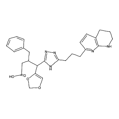 O=C(O)CC(Cc1ccccc1)C(C1=COCO1)c1nnc(CCCc2ccc3c(n2)NCCC3)[nH]1